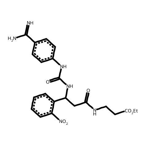 CCOC(=O)CCNC(=O)CC(NC(=O)Nc1ccc(C(=N)N)cc1)c1ccccc1[N+](=O)[O-]